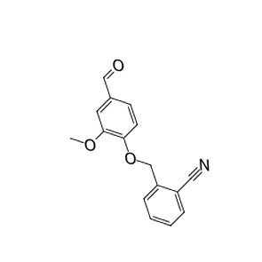 COc1cc(C=O)ccc1OCc1ccccc1C#N